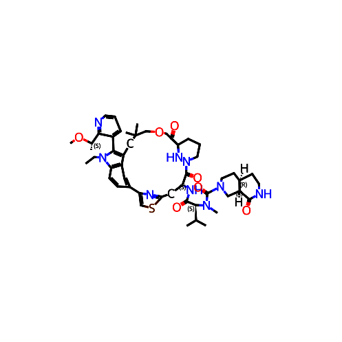 CCn1c(-c2cccnc2[C@H](C)OC)c2c3cc(ccc31)-c1csc(n1)C[C@H](NC(=O)[C@H](C(C)C)N(C)C(=O)N1CC[C@H]3CCNC(=O)[C@H]3C1)C(=O)N1CCCC(C=O)(COCC(C)(C)C2)N1